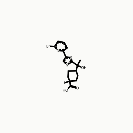 CC(O)(c1ncc(-c2cccc(Br)n2)s1)C1CCC(I)(C(=O)O)CC1